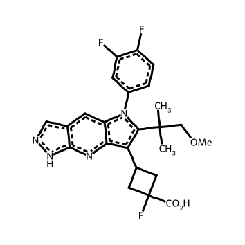 COCC(C)(C)c1c(C2CC(F)(C(=O)O)C2)c2nc3[nH]ncc3cc2n1-c1ccc(F)c(F)c1